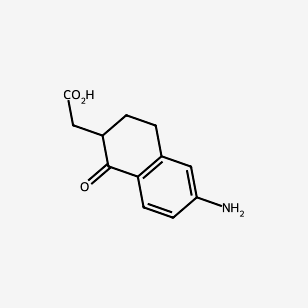 Nc1ccc2c(c1)CCC(CC(=O)O)C2=O